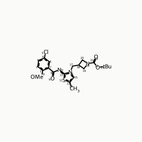 COc1ccc(Cl)cc1C(=O)/N=c1\sc(C)cn1CC1CN(C(=O)OC(C)(C)C)C1